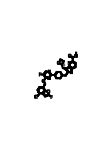 COC(=O)c1ccc2nc(CC3CC=C(c4ncc(F)c(OCc5ccc(Cl)c6cc(F)oc56)n4)CC3)n(C[C@@H]3CCO3)c2n1